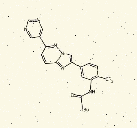 CC(C)(C)C(=O)Nc1cc(-c2cn3nc(-c4cncnc4)ccc3n2)ccc1C(F)(F)F